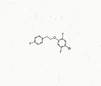 Fc1ccc(CCOc2cc(F)c(Br)cc2F)cc1